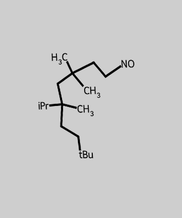 CC(C)C(C)(CCC(C)(C)C)CC(C)(C)CCN=O